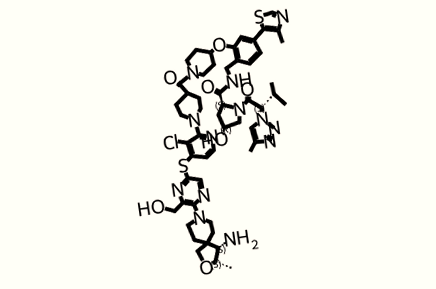 Cc1cn([C@H](C(=O)N2C[C@H](O)C[C@H]2C(=O)NCc2ccc(-c3scnc3C)cc2OC2CCN(C(=O)C3CCN(c4nccc(Sc5cnc(N6CCC7(CC6)CO[C@@H](C)[C@H]7N)c(CO)n5)c4Cl)CC3)CC2)C(C)C)nn1